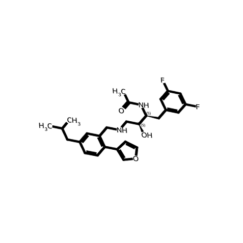 CC(=O)N[C@@H](Cc1cc(F)cc(F)c1)[C@@H](O)CNCc1cc(CC(C)C)ccc1-c1ccoc1